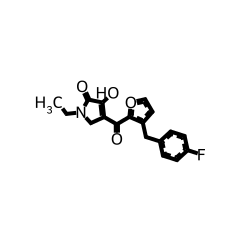 CCN1CC(C(=O)c2occc2Cc2ccc(F)cc2)=C(O)C1=O